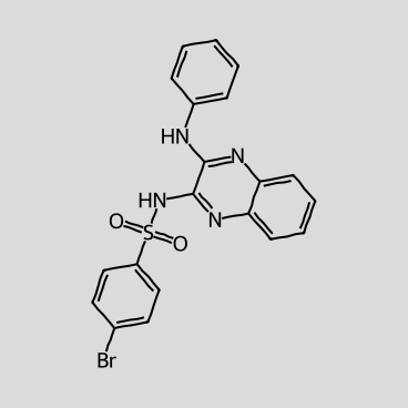 O=S(=O)(Nc1nc2ccccc2nc1Nc1ccccc1)c1ccc(Br)cc1